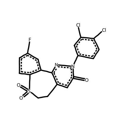 O=c1cc2c(nn1-c1ccc(Cl)c(Cl)c1)-c1cc(F)ccc1S(=O)(=O)CC2